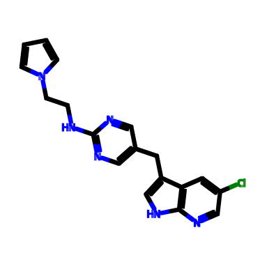 Clc1cnc2[nH]cc(Cc3cnc(NCCn4cccc4)nc3)c2c1